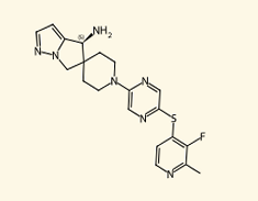 Cc1nccc(Sc2cnc(N3CCC4(CC3)Cn3nccc3[C@H]4N)cn2)c1F